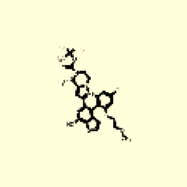 COCCOc1cc(F)cc(F)c1-c1c(-c2cc3n(n2)CCN(C(=O)OC(C)(C)C)[C@H]3C)nc(O)c2sccc12